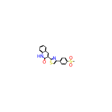 CS(=O)(=O)c1ccc(-c2csc(-c3cc4ccccc4[nH]c3=O)n2)cc1